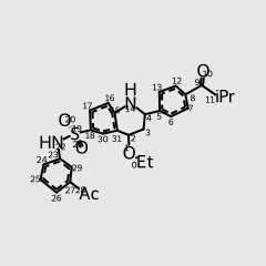 CCOC1CC(c2ccc(C(=O)C(C)C)cc2)Nc2ccc(S(=O)(=O)Nc3cccc(C(C)=O)c3)cc21